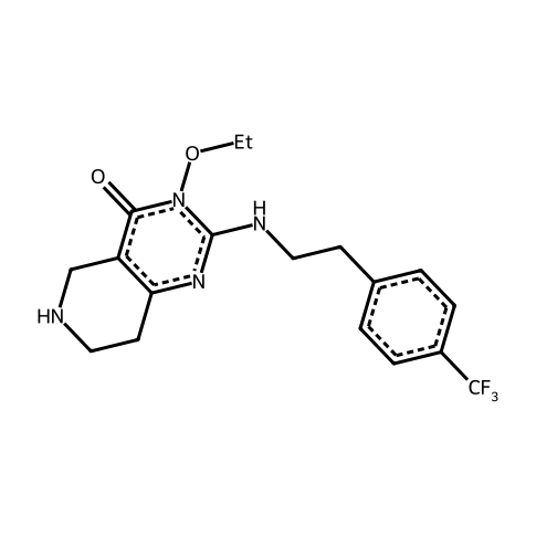 CCOn1c(NCCc2ccc(C(F)(F)F)cc2)nc2c(c1=O)CNCC2